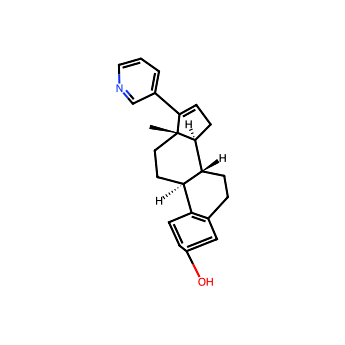 C[C@]12CC[C@@H]3c4ccc(O)cc4CC[C@H]3[C@@H]1CC=C2c1cccnc1